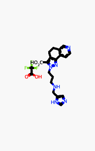 O=C(O)C(F)(F)F.O=C(O)c1c2c(nn1CCCNCc1cnc[nH]1)-c1ccncc1CC2